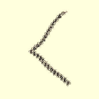 O=S(=O)([O-])[O-].O=S(=O)([O-])[O-].O=S(=O)([O-])[O-].O=S(=O)([O-])[O-].O=S(=O)([O-])[O-].O=S(=O)([O-])[O-].O=S(=O)([O-])[O-].O=S(=O)([O-])[O-].O=S(=O)([O-])[O-].O=S(=O)([O-])[O-].O=S(=O)([O-])[O-].O=S(=O)([O-])[O-].O=S(=O)([O-])[O-].O=S(=O)([O-])[O-].O=S(=O)([O-])[O-].O=S(=O)([O-])[O-].O=S(=O)([O-])[O-].O=S(=O)([O-])[O-].O=S(=O)([O-])[O-].O=S(=O)([O-])[O-].O=S(=O)([O-])[O-].O=S(=O)([O-])[O-].O=S(=O)([O-])[O-].O=S(=O)([O-])[O-].[Fe+2].[Fe+2].[Fe+2]